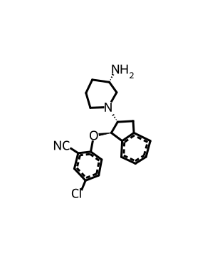 N#Cc1cc(Cl)ccc1O[C@@H]1c2ccccc2C[C@H]1N1CCC[C@H](N)C1